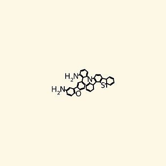 CC12C=CC=CC1c1ccc3c(c1S2)C1CC=CC=C1N3c1cccc(N)c1-c1ccc2oc3ccc(N)cc3c2c1